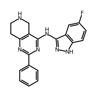 Fc1ccc2[nH]nc(Nc3nc(-c4ccccc4)nc4c3CNCC4)c2c1